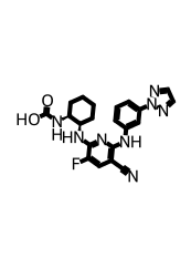 N#Cc1cc(F)c(N[C@@H]2CCCC[C@@H]2NC(=O)O)nc1Nc1cccc(-n2nccn2)c1